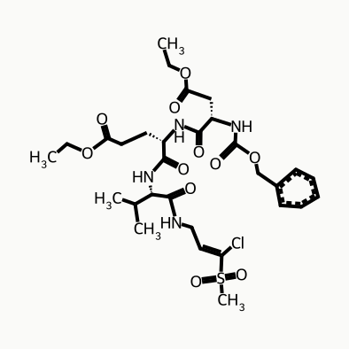 CCOC(=O)CC[C@H](NC(=O)[C@H](CC(=O)OCC)NC(=O)OCc1ccccc1)C(=O)N[C@H](C(=O)NC/C=C(\Cl)S(C)(=O)=O)C(C)C